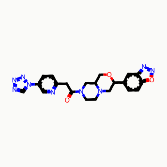 O=C(Cc1ccc(-n2cnnn2)cn1)N1CCN2CC(c3ccc4onnc4c3)OCC2C1